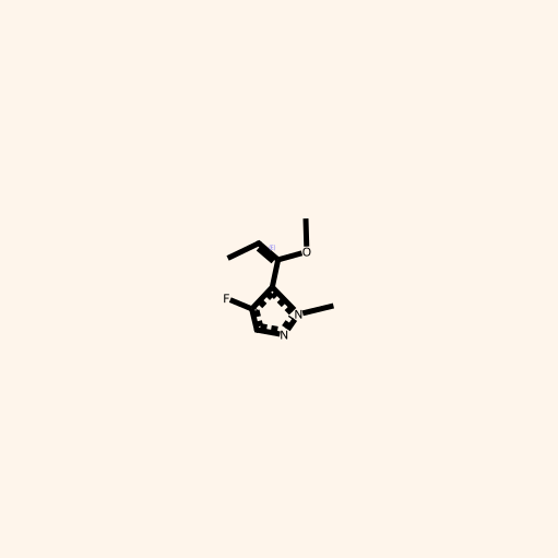 C/C=C(/OC)c1c(F)cnn1C